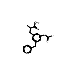 CCC(=O)Oc1cc(Cc2cccnc2)cc(CC(C)C(=O)OC)c1